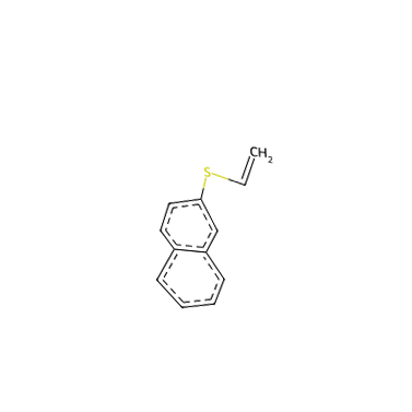 C=CSc1ccc2ccccc2c1